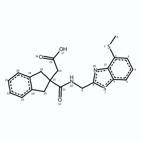 CSc1cccc2sc(CNC(=O)C3(CC(=O)O)Cc4ccccc4C3)nc12